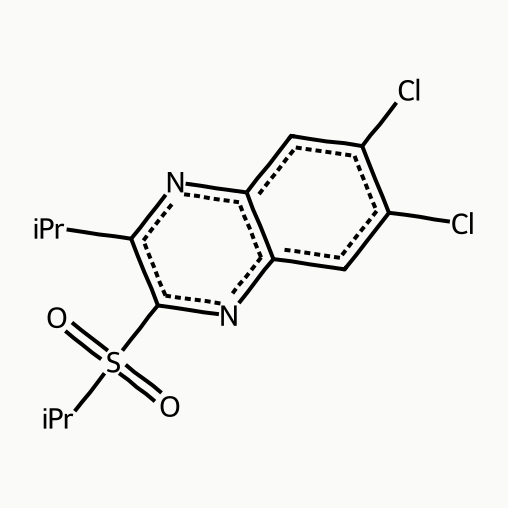 CC(C)c1nc2cc(Cl)c(Cl)cc2nc1S(=O)(=O)C(C)C